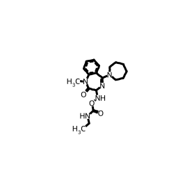 CCNC(=O)ONC1N=C(N2CCCCCC2)c2ccccc2N(C)C1=O